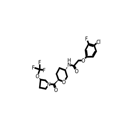 O=C(COc1ccc(Cl)c(F)c1)N[C@H]1CC[C@H](C(=O)N2CC[C@H](OC(F)(F)F)C2)OC1